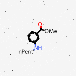 CCCCCNc1cccc(C(=O)OC)c1